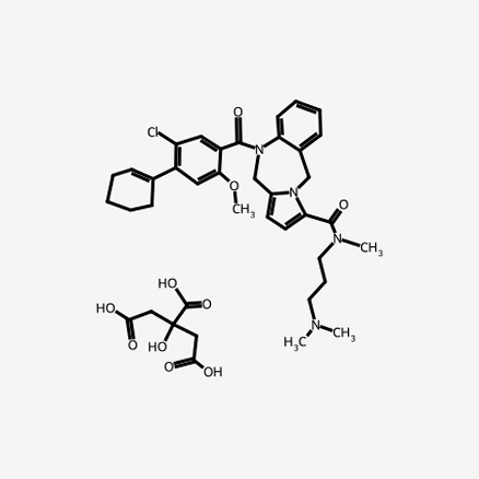 COc1cc(C2=CCCCC2)c(Cl)cc1C(=O)N1Cc2ccc(C(=O)N(C)CCCN(C)C)n2Cc2ccccc21.O=C(O)CC(O)(CC(=O)O)C(=O)O